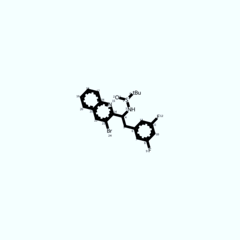 CC(C)(C)[S+]([O-])NC(Cc1cc(F)cc(F)c1)c1nc2ccccc2cc1Br